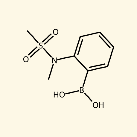 CN(c1ccccc1B(O)O)S(C)(=O)=O